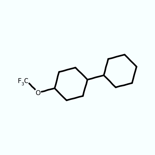 FC(F)(F)OC1CCC(C2CCCCC2)CC1